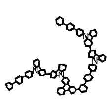 C1=CC(C2C=Cc3c(c4ccc(-n5c6ccccc6c6cc(-c7ccc8c(c7)c7ccccc7n8-c7ccc(-c8ccc(-c9ccccc9)cc8)cc7)ccc65)cc4c4ccccc34)C2)CC(c2ccc(-c3ccc(-n4c5ccccc5c5cc(-c6ccc7c(c6)c6ccccc6n7-c6ccc(-c7ccc(-c8ccccc8)cc7)cc6)ccc54)cc3)cc2)=C1